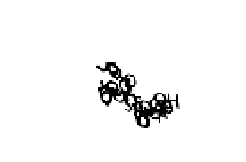 CCC1CCC2CC(C(=O)OCC3(COC(=O)C45CCCC(CC(C)C4)C5)CSC(C4CC5CCCC(C(=O)OCC(F)(F)S(=O)(=O)O)(C5)C4)SC3)CC1C2